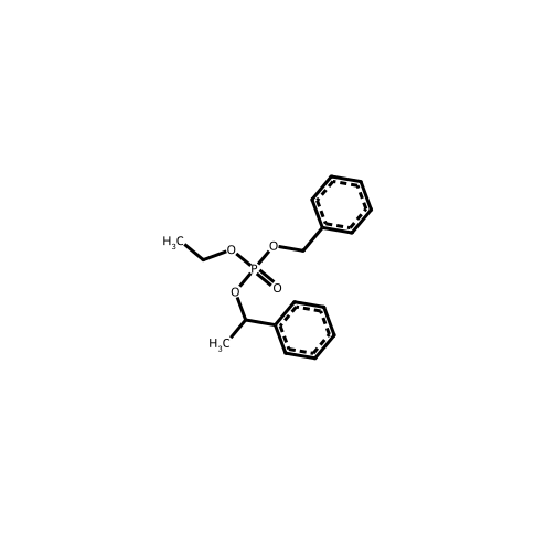 CCOP(=O)(OCc1ccccc1)OC(C)c1ccccc1